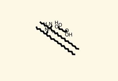 CCCCCCCCCCCCCCCCC(CN)CCCCCC.CCCCCCCCCCCCCCCCC(CN)CCCCCC.O=C(O)CCCC(=O)O